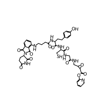 O=C(CNC(=O)C(CS)NC(=O)C(CCc1ccc(O)cc1)NC(=O)CCCNc1cccc2c1C(=O)N(C1CCC(=O)NC1=O)C2=O)NCC1OC1C(=O)Oc1ccccn1